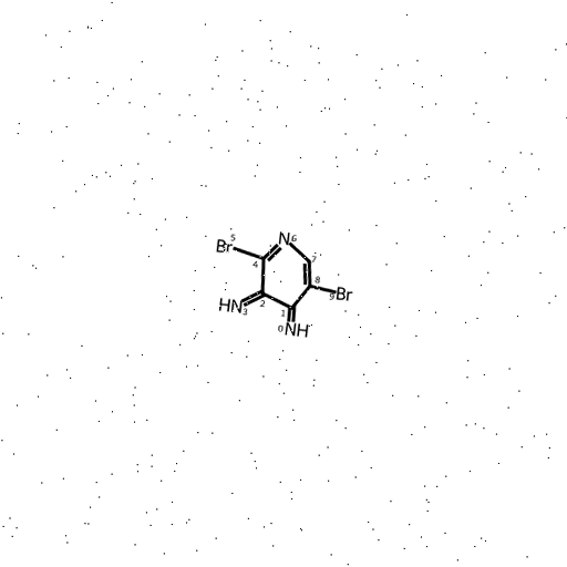 N=C1C(=N)C(Br)=NC=C1Br